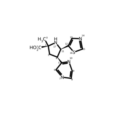 C[C@@]1(C(=O)O)C[C@H](c2cnccn2)[C@H](c2cncs2)N1